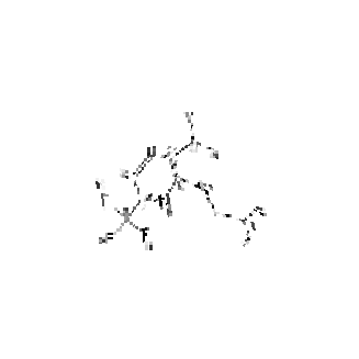 CC(C)CSc1nc(C(F)(F)F)ccc1C(C)C